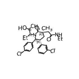 CCNC(=O)C[C@@]1(C)C[C@H](c2cccc(Cl)c2)[C@@H](c2ccc(Cl)cc2)N([C@@H](CC)[C@H](C)O)C1=O